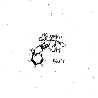 O=P(O)(O)C(O)(Cc1cnc2ccccn12)P(=O)(O)O.[NaH]